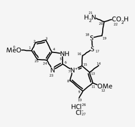 COc1ccc2[nH]c(-[n+]3cc(C)c(OC)c(C)c3CSSCC(N)C(=O)O)nc2c1.Cl.[Cl-]